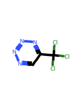 ClC(Cl)(Cl)c1cnnnn1